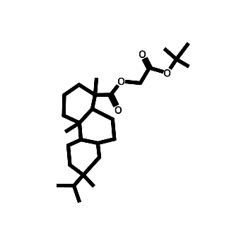 CC(C)C1(C)CCC2C(CCC3C(C)(C(=O)OCC(=O)OC(C)(C)C)CCCC23C)C1